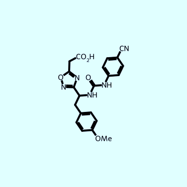 COc1ccc(CC(NC(=O)Nc2ccc(C#N)cc2)c2noc(CC(=O)O)n2)cc1